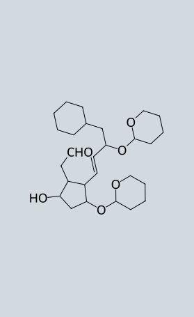 O=CCC1C(O)CC(OC2CCCCO2)C1C=CC(CC1CCCCC1)OC1CCCCO1